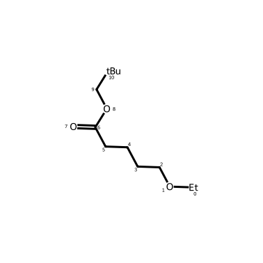 CCOCCCCC(=O)OCC(C)(C)C